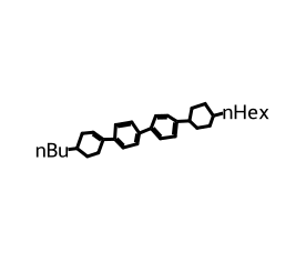 CCCCCCC1CCC(c2ccc(-c3ccc(C4=CCC(CCCC)CC4)cc3)cc2)CC1